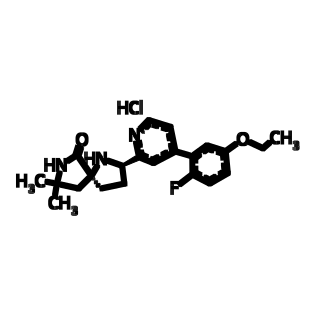 CCOc1ccc(F)c(-c2ccnc([C@H]3CC[C@@]4(CC(C)(C)NC4=O)N3)c2)c1.Cl